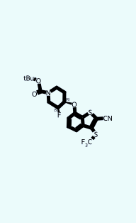 CC(C)(C)OC(=O)N1CC[C@@H](Oc2cccc3c(SC(F)(F)F)c(C#N)sc23)[C@@H](F)C1